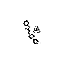 Cl.Cl.O=C(CCN1CCN(C2CCNCC2)CC1)NC1CCCCC1.O=C(O)O